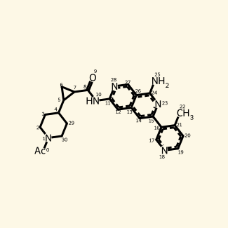 CC(=O)N1CCC(C2CC2C(=O)Nc2cc3cc(-c4cnccc4C)nc(N)c3cn2)CC1